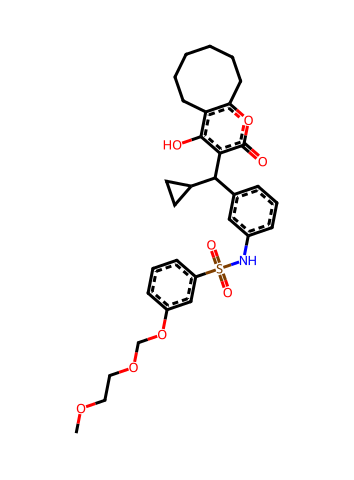 COCCOCOc1cccc(S(=O)(=O)Nc2cccc(C(c3c(O)c4c(oc3=O)CCCCCC4)C3CC3)c2)c1